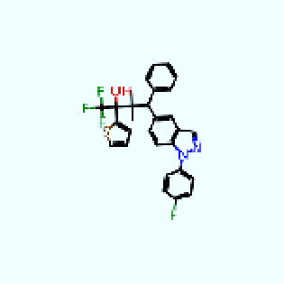 CC(C)(C(c1ccccc1)c1ccc2c(cnn2-c2ccc(F)cc2)c1)C(O)(c1cccs1)C(F)(F)F